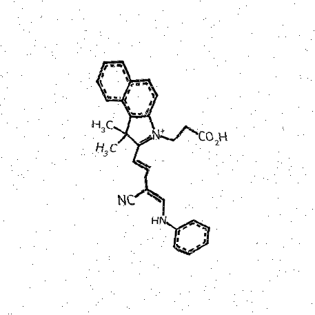 CC1(C)C(/C=C/C(C#N)=C/Nc2ccccc2)=[N+](CCC(=O)O)c2ccc3ccccc3c21